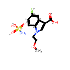 COCCn1cc(C(=O)O)c2cc(F)ccc21.NS(=O)(=O)O